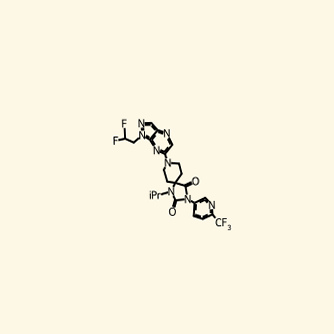 CC(C)N1C(=O)N(c2ccc(C(F)(F)F)nc2)C(=O)C12CCN(c1cnc3cnn(CC(F)F)c3n1)CC2